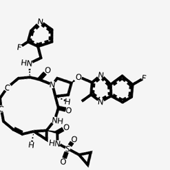 Cc1nc2ccc(F)cc2nc1O[C@@H]1C[C@H]2C(=O)N[C@]3(C(=O)NS(=O)(=O)C4CC4)C[C@H]3/C=C\CCCCC[C@H](NCc3ccncc3F)C(=O)N2C1